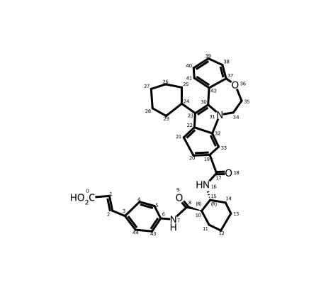 O=C(O)C=Cc1ccc(NC(=O)[C@@H]2CCCC[C@H]2NC(=O)c2ccc3c(C4CCCCC4)c4n(c3c2)CCOc2ccccc2-4)cc1